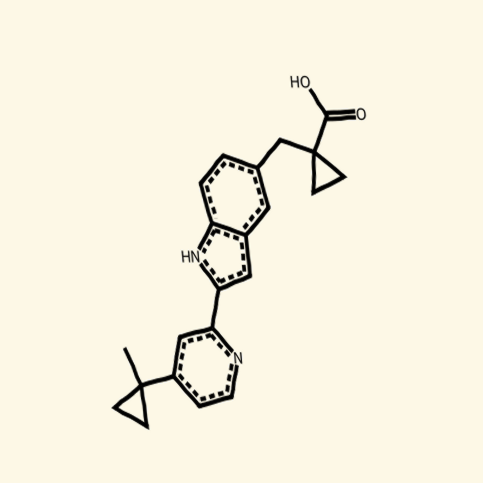 CC1(c2ccnc(-c3cc4cc(CC5(C(=O)O)CC5)ccc4[nH]3)c2)CC1